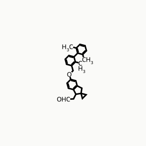 Cc1cccc(C)c1-c1cccc(COc2ccc3c(c2)CC2(CC2)C3CC=O)c1C